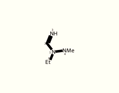 CCN(C=N)NC